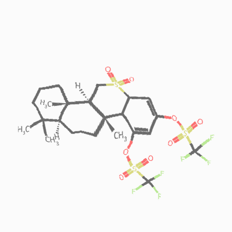 CC1(C)CCC[C@]2(C)[C@H]3CS(=O)(=O)C4C=C(OS(=O)(=O)C(F)(F)F)C=C(OS(=O)(=O)C(F)(F)F)C4[C@]3(C)CC[C@@H]12